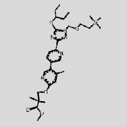 CCC(CC)Oc1nc(-c2ccc(-c3cnc(OCC(C)(C)C(=O)OC)cc3C)cn2)nn1COCC[Si](C)(C)C